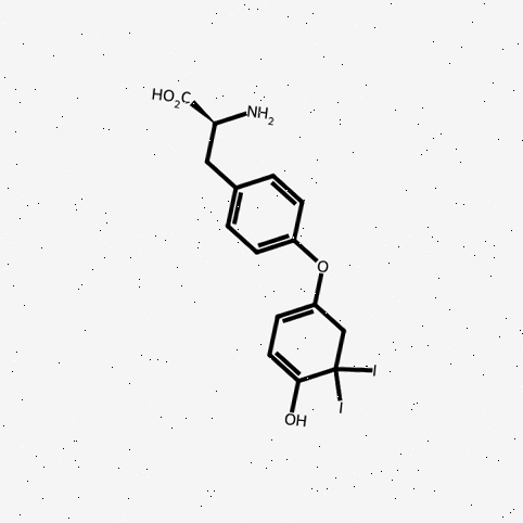 N[C@@H](Cc1ccc(OC2=CC=C(O)C(I)(I)C2)cc1)C(=O)O